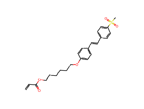 C=CC(=O)OCCCCCCOc1ccc(C=Cc2ccc(S(C)(=O)=O)cc2)cc1